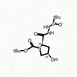 CC(C)(C)OC(=O)N1C[C@H](O)C[C@@H]1C(=O)NN[S+]([O-])C(C)(C)C